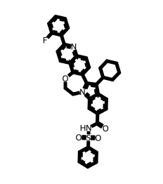 O=C(NS(=O)(=O)c1ccccc1)c1ccc2c(C3CCCCC3)c3n(c2c1)CCOc1c-3ccc2nc(-c3ccccc3F)ccc12